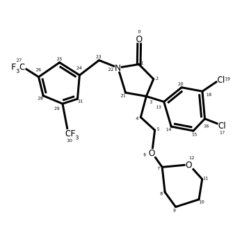 O=C1CC(CCOC2CCCCO2)(c2ccc(Cl)c(Cl)c2)CN1Cc1cc(C(F)(F)F)cc(C(F)(F)F)c1